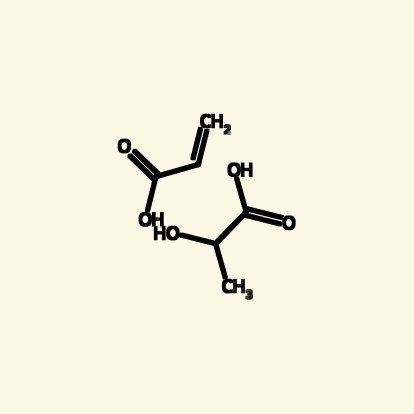 C=CC(=O)O.CC(O)C(=O)O